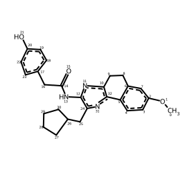 COc1ccc2c(c1)CCc1nc(NC(=O)Cc3ccc(O)cc3)c(CC3CCCC3)nc1-2